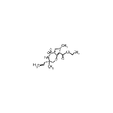 C=CCC1(C)COc2c(cn(C)c2C(=O)OCC)S(=O)(=O)N1